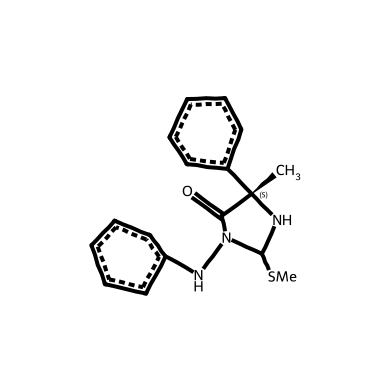 CSC1N[C@@](C)(c2ccccc2)C(=O)N1Nc1ccccc1